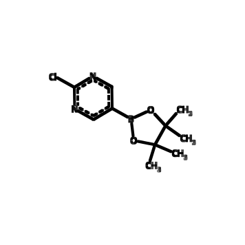 CC1(C)OB(c2cnc(Cl)nc2)OC1(C)C